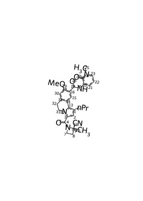 CCCc1cc(C(=O)N2CC[C@]2(C)C#N)n2c1-c1cc(C(=O)Nc3cccn(C)c3=O)c(OC)cc1CC2